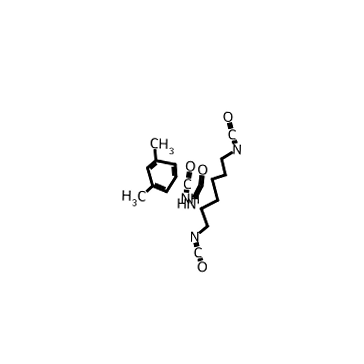 Cc1cccc(C)c1.N=C=O.N=C=O.O=C=NCCCCCCN=C=O